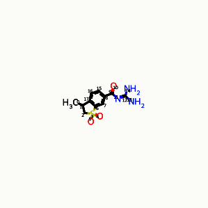 CC1CS(=O)(=O)c2cc(C(=O)N=C(N)N)ccc21